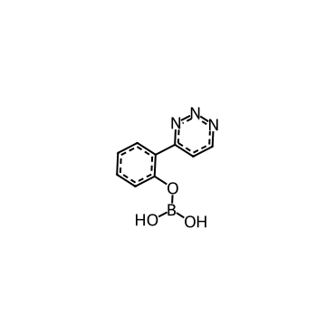 OB(O)Oc1ccccc1-c1ccnnn1